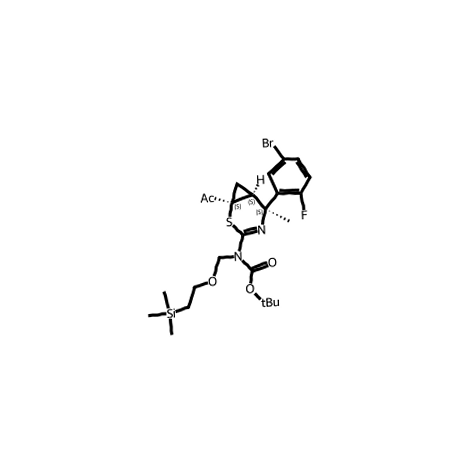 CC(=O)[C@]12C[C@H]1[C@@](C)(c1cc(Br)ccc1F)N=C(N(COCC[Si](C)(C)C)C(=O)OC(C)(C)C)S2